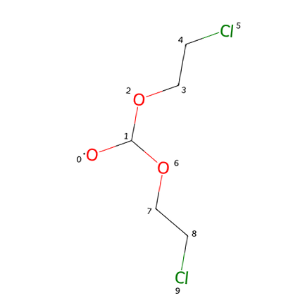 [O]C(OCCCl)OCCCl